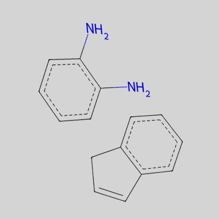 C1=Cc2ccccc2C1.Nc1ccccc1N